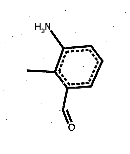 Cc1c(N)cccc1[C]=O